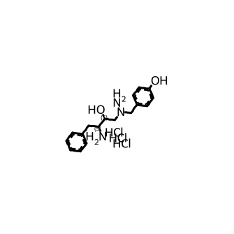 Cl.Cl.Cl.N[C@@H](Cc1ccccc1)[C@@H](O)CN(N)Cc1ccc(O)cc1